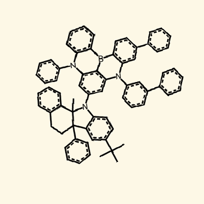 CC(C)(C)c1ccc2c(c1)C1(c3ccccc3)CCc3ccccc3C1(C)N2c1cc2c3c(c1)N(c1cccc(-c4ccccc4)c1)c1cc(-c4ccccc4)ccc1B3c1ccccc1N2c1ccccc1